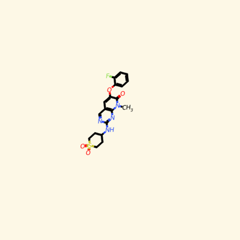 Cn1c(=O)c(Oc2ccccc2F)cc2cnc(NC3CCS(=O)(=O)CC3)nc21